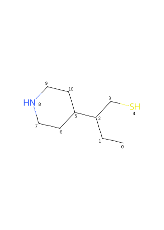 CCC(CS)C1CCNCC1